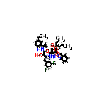 CCCC(CCC)S(=O)(=O)C[C@@](N)(C(=O)N[C@@H](Cc1cc(F)cc(F)c1)[C@H](O)CNC1(c2cccc(CC)c2)CC1)C(=O)OCc1ccccc1